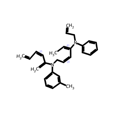 C=C/C=C\C(=C)N(C/C=C\C(=C/C)N(CC=C)c1ccccc1)c1cccc(C)c1